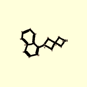 c1ccc2c(N3CC4(CNC4)C3)cccc2c1